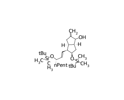 C=C1C[C@@H]2[C@H](/C=C/[C@H](CCCCC)O[Si](C)(C)C(C)(C)C)[C@H](O[Si](C)(C)C(C)(C)C)C[C@@H]2C1O